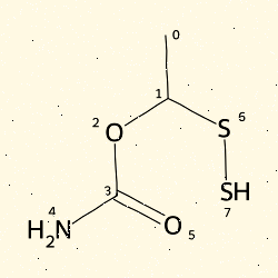 CC(OC(N)=O)SS